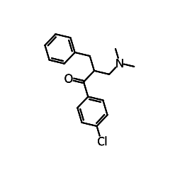 CN(C)CC(Cc1ccccc1)C(=O)c1ccc(Cl)cc1